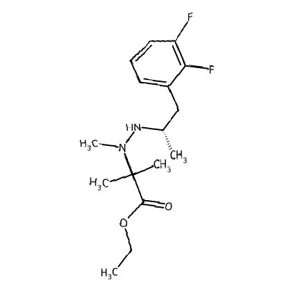 CCOC(=O)C(C)(C)N(C)N[C@@H](C)Cc1cccc(F)c1F